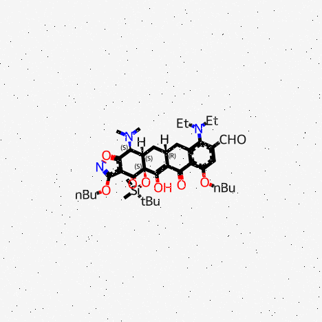 CCCCOc1cc(C=O)c(N(CC)CC)c2c1C(=O)C1=C(O)[C@]3(O[Si](C)(C)C(C)(C)C)C(=O)c4c(OCCCC)noc4[C@@H](N(C)C)[C@@H]3C[C@@H]1C2